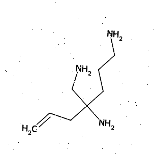 C=CCC(N)(CN)CCCN